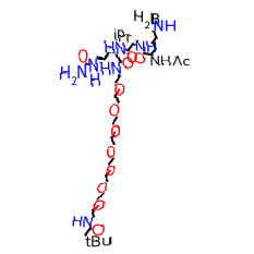 BNCCCC[C@H](NC(C)=O)C(=O)NC(C(=O)N[C@@H](CCCNC(N)=O)C(=O)NCCOCCOCCOCCOCCOCCOCCOCCNC(=O)CC(C)(C)C)C(C)C